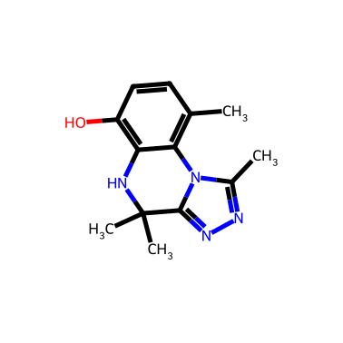 Cc1ccc(O)c2c1-n1c(C)nnc1C(C)(C)N2